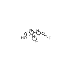 Cc1ncc(-c2ccc(OCCCF)cn2)c(N2CCC(C)(C)CC2)c1CC(=O)O